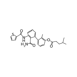 Cc1c(OC(=O)CCC(C)C)cccc1-c1cccc(NC(=O)c2cccs2)c1C(N)=O